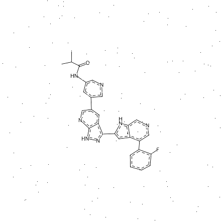 CC(C)C(=O)Nc1cncc(-c2cnc3[nH]nc(-c4cc5c(-c6ccccc6F)cncc5[nH]4)c3c2)c1